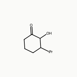 CC(C)C1CCCC(=O)C1O